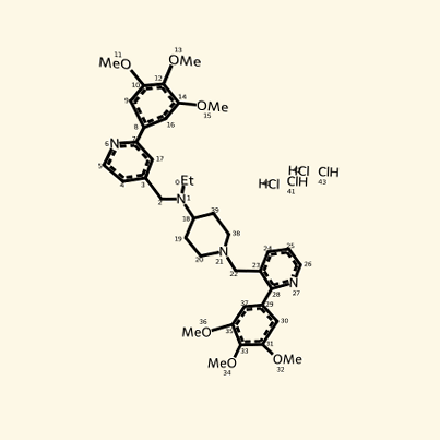 CCN(Cc1ccnc(-c2cc(OC)c(OC)c(OC)c2)c1)C1CCN(Cc2cccnc2-c2cc(OC)c(OC)c(OC)c2)CC1.Cl.Cl.Cl.Cl